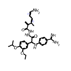 C=C(C(=O)NNC(=O)C(Nc1ccc(C(=N)N)cc1)c1ccc(OC(C)C)c(OCC)c1)/C(C)=C\C=C/N